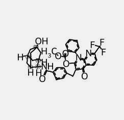 COC(=O)Oc1c(Cc2ccc(C(=O)N[C@@H]3[C@@H]4C[C@@H]5C[C@H]3C[C@](O)(C5)C4)cc2)c(=O)c2ccc(C(F)(F)F)nc2n1-c1ccccc1